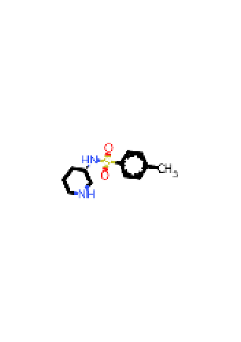 Cc1ccc(S(=O)(=O)N[C@H]2CCCNC2)cc1